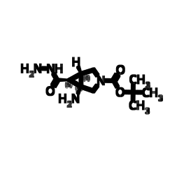 CC(C)(C)OC(=O)N1C[C@H]2[C@H](C(=O)NN)[C@@]2(N)C1